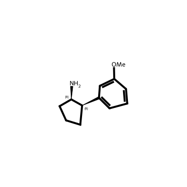 COc1cccc([C@H]2CCC[C@H]2N)c1